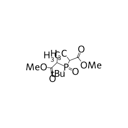 COC(=O)C(C)P(=O)(C(C)C(=O)OC)C(C)(C)C